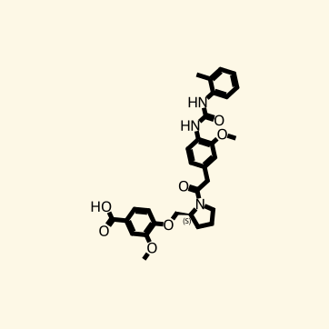 COc1cc(CC(=O)N2CCC[C@H]2COc2ccc(C(=O)O)cc2OC)ccc1NC(=O)Nc1ccccc1C